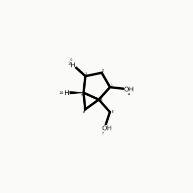 [3H]C1CC(O)C2(CO)C[C@H]12